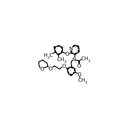 COc1ccc(OCCOC2CCCCO2)c(CN(C(C)=O)c2cccnc2Oc2cccc(C)c2C)c1